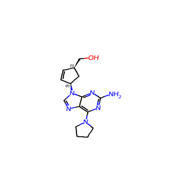 Nc1nc(N2CCCC2)c2ncn([C@H]3C=C[C@@H](CO)C3)c2n1